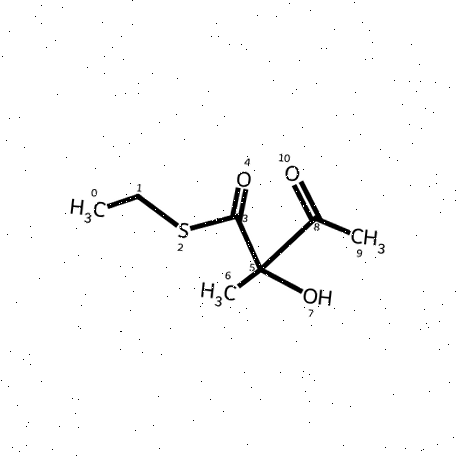 CCSC(=O)C(C)(O)C(C)=O